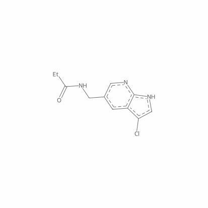 CCC(=O)NCc1cnc2[nH]cc(Cl)c2c1